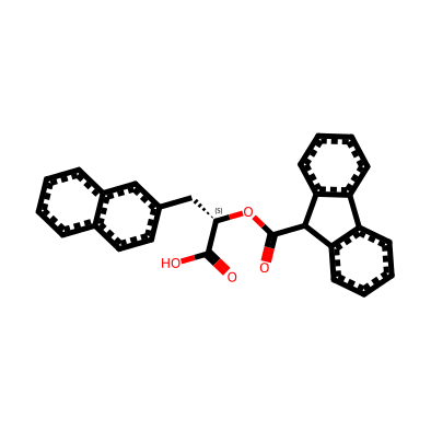 O=C(O[C@@H](Cc1ccc2ccccc2c1)C(=O)O)C1c2ccccc2-c2ccccc21